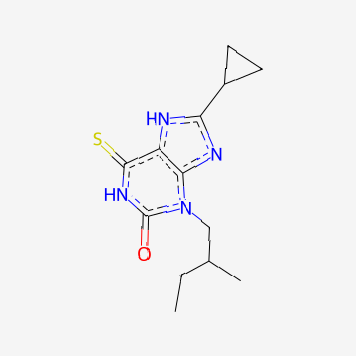 CCC(C)Cn1c(=O)[nH]c(=S)c2[nH]c(C3CC3)nc21